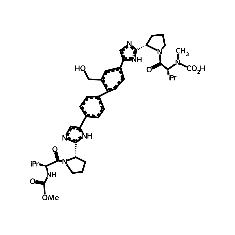 COC(=O)N[C@H](C(=O)N1CCC[C@H]1c1ncc(-c2ccc(-c3ccc(-c4cnc([C@@H]5CCCN5C(=O)[C@H](C(C)C)N(C)C(=O)O)[nH]4)cc3CO)cc2)[nH]1)C(C)C